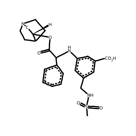 CS(=O)(=O)NCc1cc(NC(C(=O)O[C@H]2CN3CCC2CC3)c2ccccc2)cc(C(=O)O)c1